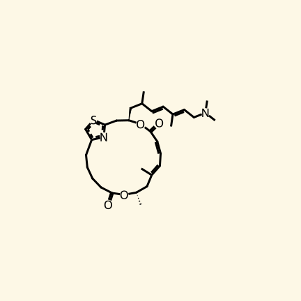 CC(/C=C/C(C)C[C@@H]1Cc2nc(cs2)CCCCC(=O)O[C@@H](C)C/C(C)=C/C=C\C(=O)O1)=C\CN(C)C